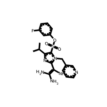 CC(C)c1nc(C(N)=C(N)N)n(Cc2cccnc2)c1S(=O)(=O)Oc1cccc(F)c1